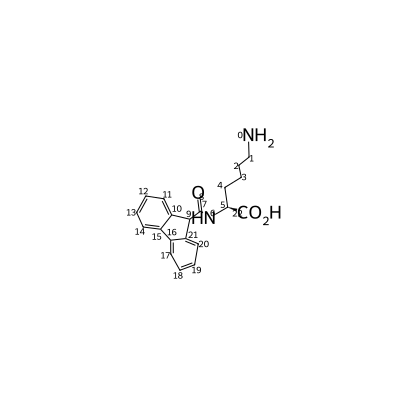 NCCCC[C@H](NC(=O)C1c2ccccc2-c2ccccc21)C(=O)O